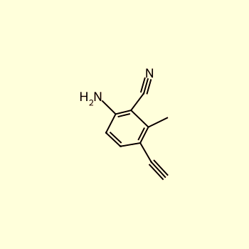 C#Cc1ccc(N)c(C#N)c1C